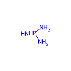 N=[PH](N)N